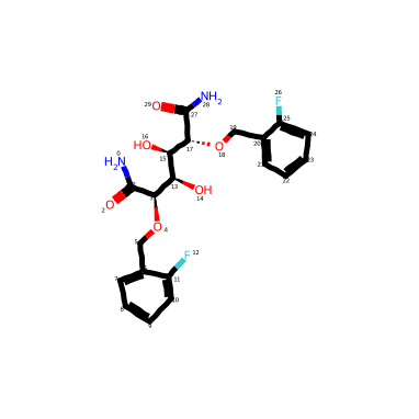 NC(=O)[C@H](OCc1ccccc1F)[C@H](O)[C@@H](O)[C@@H](OCc1ccccc1F)C(N)=O